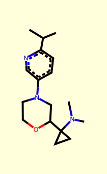 CC(C)c1ccc(N2CCOC(C3(N(C)C)CC3)C2)cn1